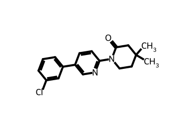 CC1(C)CCN(c2ccc(-c3cccc(Cl)c3)cn2)C(=O)C1